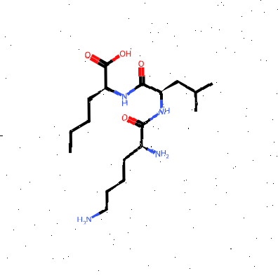 CCCC[C@H](NC(=O)[C@@H](CC(C)C)NC(=O)[C@@H](N)CCCCN)C(=O)O